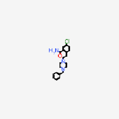 NC(=O)c1cc(Cl)ccc1CCN1CCN(Cc2ccccc2)CC1